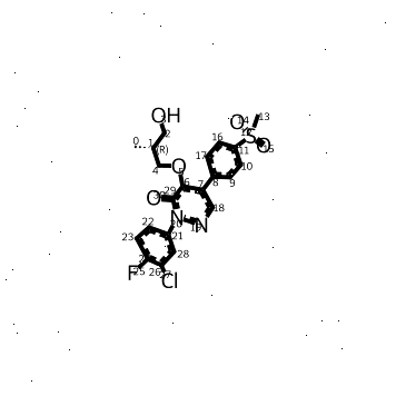 C[C@H](CO)COc1c(-c2ccc(S(C)(=O)=O)cc2)cnn(-c2ccc(F)c(Cl)c2)c1=O